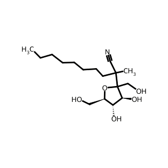 CCCCCCCCC(C)(C#N)C1(CO)O[C@H](CO)[C@@H](O)[C@@H]1O